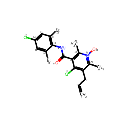 C=CCc1c(Cl)c(C(=O)Nc2c(CC)cc(Cl)cc2CC)c(C)[n+]([O-])c1C